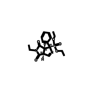 CCOP(=O)(OCC)[C@]1(c2ccccc2)N=C[C@H]2C(=O)N(CC)C(=O)[C@H]21